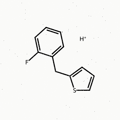 Fc1cc[c]cc1Cc1cccs1.[H+]